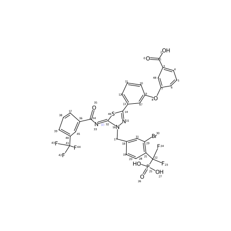 O=C(O)c1cccc(Oc2cccc(-c3nn(Cc4ccc(C(F)(F)P(=O)(O)O)c(Br)c4)/c(=N/C(=O)c4cccc(C(F)(F)F)c4)s3)c2)c1